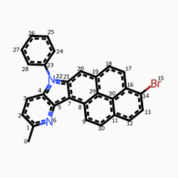 Cc1ccc2c(n1)c1c3ccc4ccc(Br)c5ccc(cc1n2-c1ccccc1)c3c45